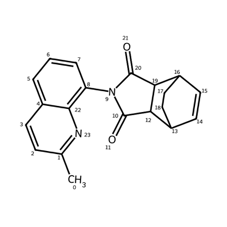 Cc1ccc2cccc(N3C(=O)C4C5C=CC(CC5)C4C3=O)c2n1